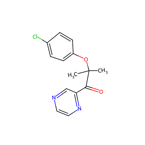 CC(C)(Oc1ccc(Cl)cc1)C(=O)c1cnccn1